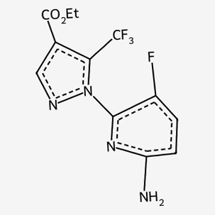 CCOC(=O)c1cnn(-c2nc(N)ccc2F)c1C(F)(F)F